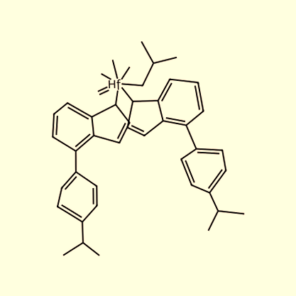 [CH2]=[Hf]([CH3])([CH3])([CH3])([CH2]C(C)C)([CH]1C=Cc2c(-c3ccc(C(C)C)cc3)cccc21)[CH]1C=Cc2c(-c3ccc(C(C)C)cc3)cccc21